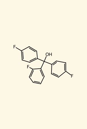 OC(c1ccc(F)cc1)(c1ccc(F)cc1)c1ccccc1F